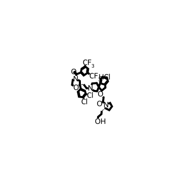 Cl.O=C(c1cc(C(F)(F)F)cc(C(F)(F)F)c1)N1CCO[C@](CCN2CCC3(CC2)c2ccccc2C[C@@H]3OCC(=O)N2CCC[C@@H]2CCCO)(c2ccc(Cl)c(Cl)c2)C1